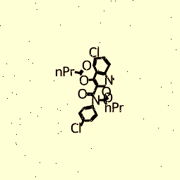 CCCC(=O)Oc1c(C(=O)N(C(=O)CCC)c2ccc(Cl)cc2)c(=O)n(C)c2ccc(Cl)cc12